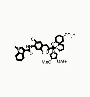 CO[C@H]1CN(C(O[C@H]2CC[C@H](C(=O)O)CC2)(C(=O)Cc2cc(Cl)c(NC(=O)c3cn(C)c4ccccc34)cc2Cl)N2CCCC2)C[C@H]1OC